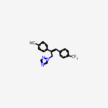 N#Cc1ccc(/C(=C/c2ccc(C(F)(F)F)cc2)Cn2cncn2)cc1